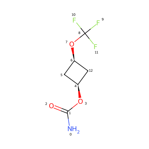 NC(=O)O[C@H]1C[C@@H](OC(F)(F)F)C1